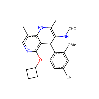 COc1cc(C#N)ccc1C1C(NC=O)=C(C)Nc2c(C)cnc(OC3CCC3)c21